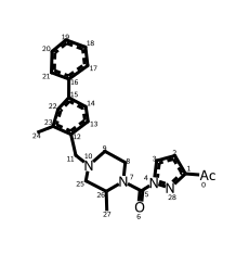 CC(=O)c1ccn(C(=O)N2CCN(Cc3ccc(-c4ccccc4)cc3C)CC2C)n1